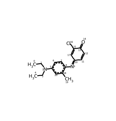 CCN(CC)c1ccc(/N=C2/C=CC(=O)C(Cl)=C2)c(C)c1